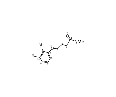 CNC(=O)CCCOc1cc[c]c(C)c1F